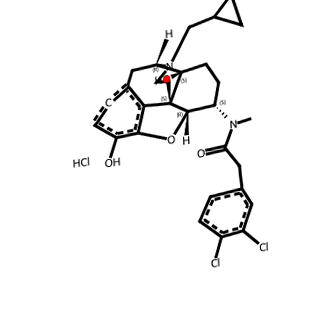 CN(C(=O)Cc1ccc(Cl)c(Cl)c1)[C@H]1CC[C@@]2(O)[C@H]3Cc4ccc(O)c5c4[C@@]2(CCN3CC2CC2)[C@H]1O5.Cl